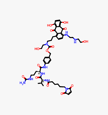 CC(C)[C@H](NC(=O)CCCCCN1C(=O)C=CC1=O)C(=O)N[C@@H](CCCNC(N)=O)C(=O)Nc1ccc(COC(=O)N(CCO)CCCc2ccc(NCCNCCO)c3c2C(=O)c2c(O)ccc(O)c2C3=O)cc1